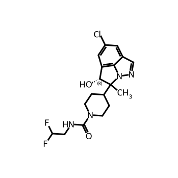 CC1(C2CCN(C(=O)NCC(F)F)CC2)[C@H](O)c2cc(Cl)cc3cnn1c23